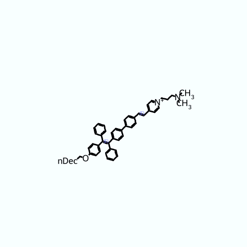 CCCCCCCCCCCOc1ccc(/C(=C(\c2ccccc2)c2ccc(-c3ccc(/C=C/c4cc[n+](CCCN(C)C)cc4)cc3)cc2)c2ccccc2)cc1